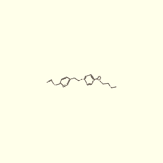 CCCCOc1ccc(CCc2ccc(CCC)nc2)cc1